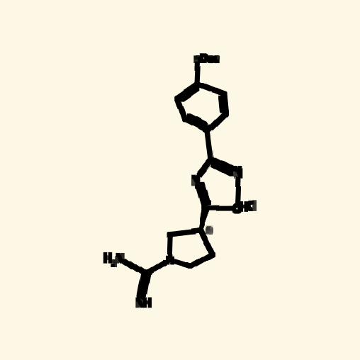 CCCCCCCCCCc1ccc(-c2noc([C@H]3CCN(C(=N)N)C3)n2)cc1.Cl